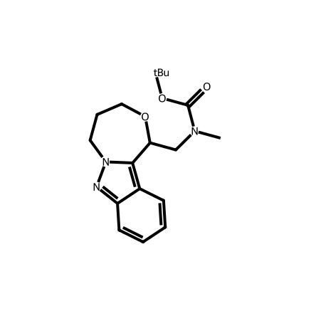 CN(CC1OCCCn2nc3ccccc3c21)C(=O)OC(C)(C)C